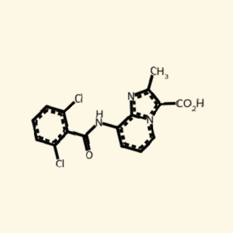 Cc1nc2c(NC(=O)c3c(Cl)cccc3Cl)cccn2c1C(=O)O